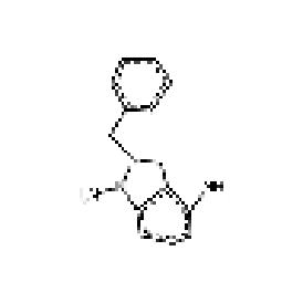 Nc1cccc2c1CN(Cc1ccccc1)N2N